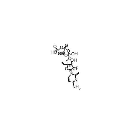 C=C[C@]1(COP(=O)(O)OP(=O)(O)OP(=O)(O)O)O[C@@H](N2C=CC(N)=NC2=C)[C@H](F)[C@@H]1O